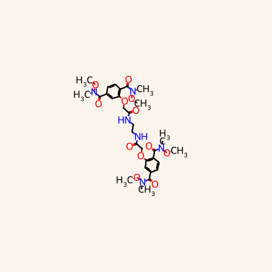 CON(C)C(=O)c1ccc(C(=O)N(C)OC)c(OCC(=O)NCCNC(=O)COc2cc(C(=O)N(C)OC)ccc2C(=O)N(C)OC)c1